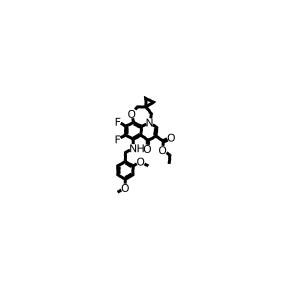 CCOC(=O)c1cn2c3c(c(F)c(F)c(NCc4ccc(OC)cc4OC)c3c1=O)OCC1(CC1)C2